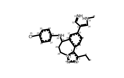 CCc1nnn2c1-c1ccc(/C(C=N)=C/NC)cc1C(Nc1ccc(Cl)cc1)CC2